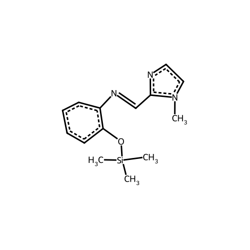 Cn1ccnc1/C=N/c1ccccc1O[Si](C)(C)C